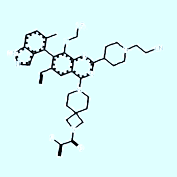 C=Cc1cc2c(N3CCC4(CC3)CN(C(=O)C(=C)F)C4)nc(C3CCN(CCC#N)CC3)nc2c(OCC(F)(F)F)c1-c1c(C)ccc2[nH]ncc12